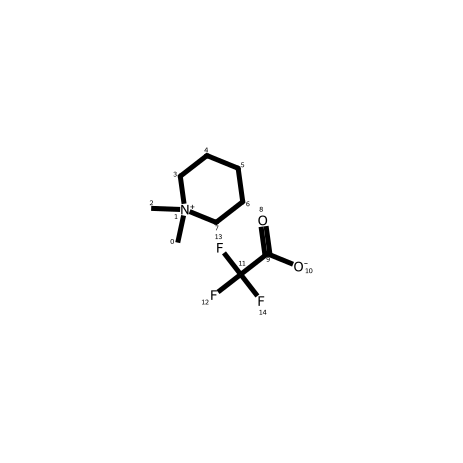 C[N+]1(C)CCCCC1.O=C([O-])C(F)(F)F